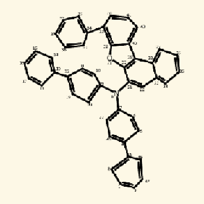 c1ccc(-c2ccc(N(c3ccc(-c4ccccc4)cc3)c3cc4ccccc4c4c3oc3c(-c5ccccc5)cccc34)cc2)cc1